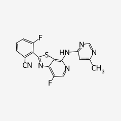 Cc1cc(Nc2ncc(F)c3nc(-c4c(F)cccc4C#N)sc23)ncn1